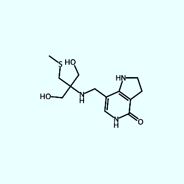 CSCC(CO)(CO)NCc1c[nH]c(=O)c2c1NCC2